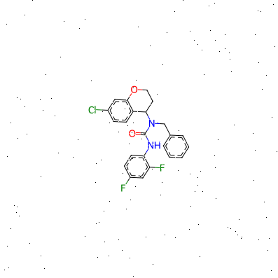 O=C(Nc1ccc(F)cc1F)N(Cc1ccccc1)C1CCOc2cc(Cl)ccc21